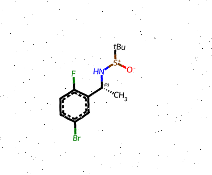 C[C@@H](N[S+]([O-])C(C)(C)C)c1cc(Br)ccc1F